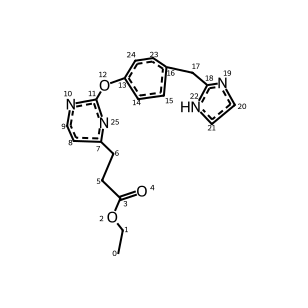 CCOC(=O)CCc1ccnc(Oc2ccc(Cc3ncc[nH]3)cc2)n1